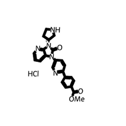 COC(=O)c1ccc(-c2ccc(-n3c(=O)n([C@@H]4CCNC4)c4ncccc43)cn2)cc1.Cl